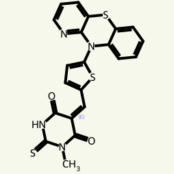 CN1C(=O)/C(=C/c2ccc(N3c4ccccc4Sc4cccnc43)s2)C(=O)NC1=S